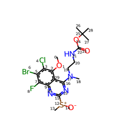 COc1c(Cl)c(Br)c(F)c2nc([S+](C)[O-])nc(N(C)CCNC(=O)OC(C)(C)C)c12